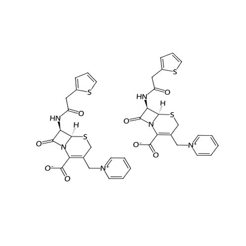 O=C(Cc1cccs1)N[C@@H]1C(=O)N2C(C(=O)[O-])=C(C[n+]3ccccc3)CS[C@H]12.O=C(Cc1cccs1)N[C@@H]1C(=O)N2C(C(=O)[O-])=C(C[n+]3ccccc3)CS[C@H]12